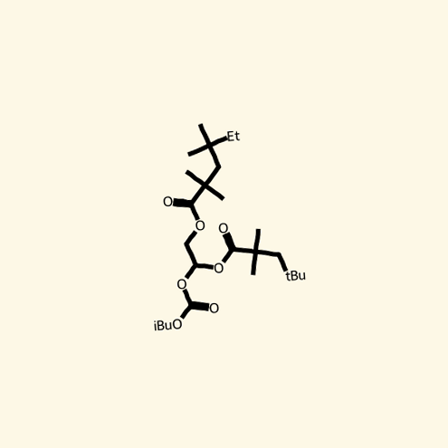 CCC(C)(C)CC(C)(C)C(=O)OCC(OC(=O)OCC(C)C)OC(=O)C(C)(C)CC(C)(C)C